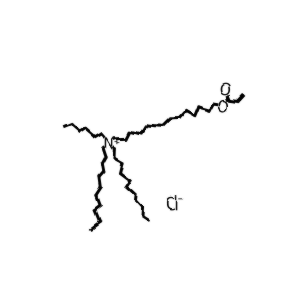 C=CC(=O)OCCCCCCCCCCCCC[N+](CCCCCC)(CCCCCCCCCCC)CCCCCCCCCCC.[Cl-]